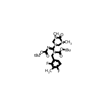 Cc1c(F)ccc(CN(C(=O)OC(C)(C)C)/C(=N\C(=O)OC(C)(C)C)N2CN(C)C(=O)N(C)C2)c1F